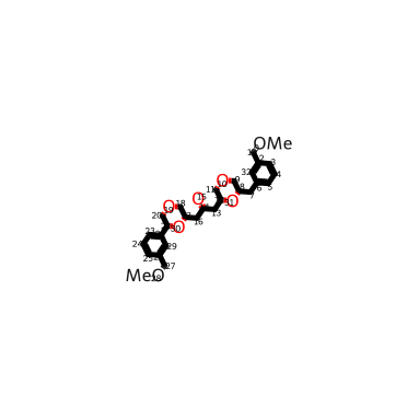 COCc1cccc(CC2COCC(CC(=O)CC3COCC(c4cccc(COC)c4)O3)O2)c1